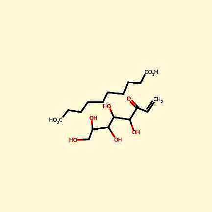 C=CC(=O)C(O)C(O)C(O)C(O)CO.O=C(O)CCCCCCCCC(=O)O